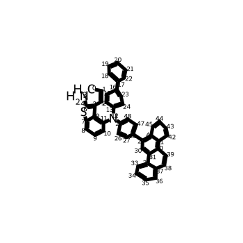 C/C=C\c1c(N)sc2cccc(N(c3ccc(-c4ccccc4)cc3)c3ccc(-c4cc5c6ccccc6ccc5c5ccccc45)cc3)c12